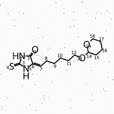 O=C1NC(=S)NC1=CCCCCCOC1CCCCO1